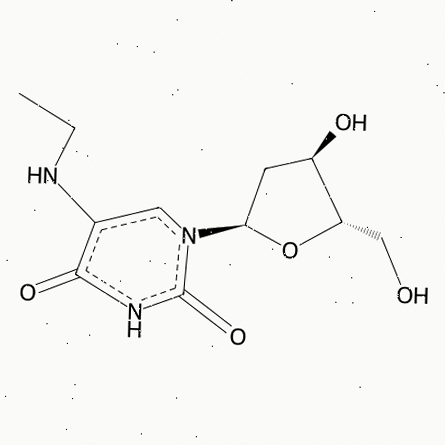 CCNc1cn([C@H]2C[C@@H](O)[C@H](CO)O2)c(=O)[nH]c1=O